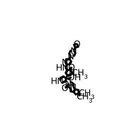 Cn1cc(C2(CO)C=CNC=C2N2CCn3c(cc4c3CC(C)(C)C4)C2=O)cc(Nc2ccc(N3CCN(C4COC4)CC3)cn2)c1=O